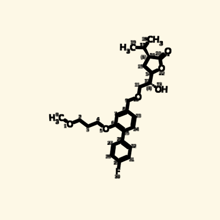 COCCCOc1cc(COC[C@@H](O)C2C[C@@H](C(C)C)C(=O)O2)ccc1-c1ccc(F)cc1